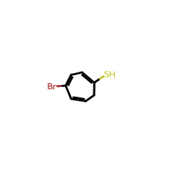 SC1=CC=C(Br)C=CC1